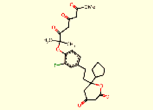 COC(=O)CC(=O)CC(=O)C(C)(C)Oc1ccc(CCC2(C3CCCC3)CC(=O)CC(=O)O2)cc1F